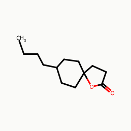 CCCCC1CCC2(CCC(=O)O2)CC1